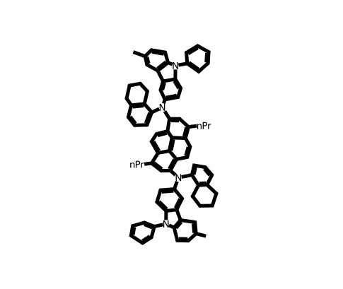 CCCc1cc(N(c2ccc3c(c2)c2cc(C)ccc2n3-c2ccccc2)c2cccc3c2CCCC3)c2ccc3c(CCC)cc(N(c4ccc5c(c4)c4cc(C)ccc4n5-c4ccccc4)c4cccc5c4CCCC5)c4ccc1c2c34